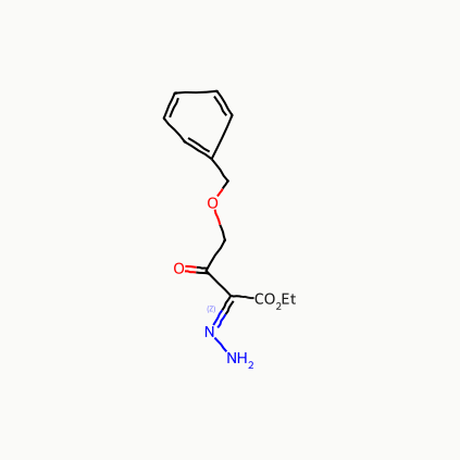 CCOC(=O)/C(=N\N)C(=O)COCc1ccccc1